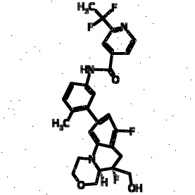 Cc1ccc(NC(=O)c2ccnc(C(C)(F)F)c2)cc1-c1cc(F)c2c(c1)N1CCOC[C@@H]1[C@](F)(CO)C2